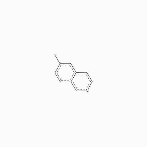 Cc1ccc2[c]nccc2c1